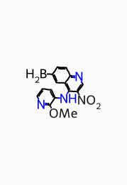 Bc1ccc2ncc([N+](=O)[O-])c(Nc3cccnc3OC)c2c1